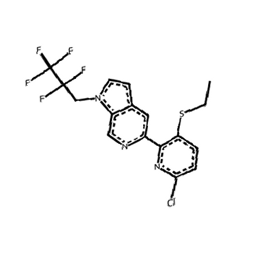 CCSc1ccc(Cl)nc1-c1cc2ccn(CC(F)(F)C(F)(F)F)c2cn1